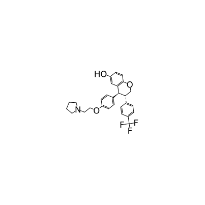 Oc1ccc2c(c1)[C@H](c1ccc(OCCN3CCCC3)cc1)[C@@H](c1ccc(C(F)(F)F)cc1)CO2